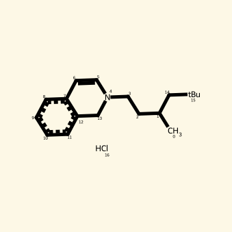 CC(CCN1C=Cc2ccccc2C1)CC(C)(C)C.Cl